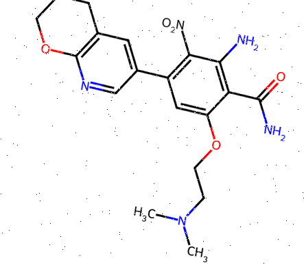 CN(C)CCOc1cc(-c2cnc3c(c2)CCCO3)c([N+](=O)[O-])c(N)c1C(N)=O